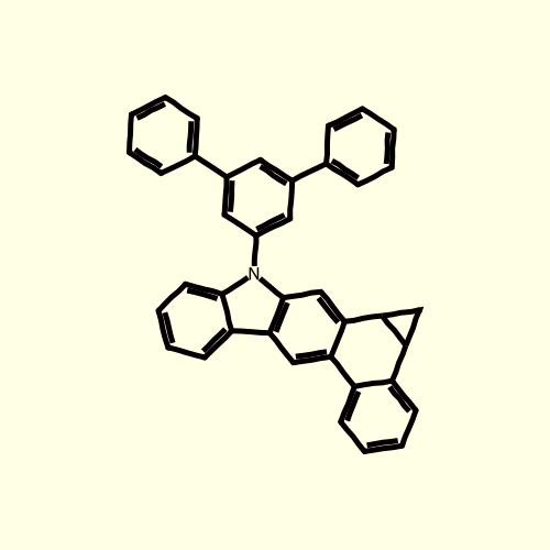 c1ccc(-c2cc(-c3ccccc3)cc(-n3c4ccccc4c4cc5c(cc43)C3CC3c3ccccc3-5)c2)cc1